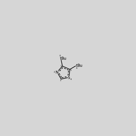 CC(C)(C)c1ncsc1C(C)(C)C